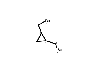 CCC(C)C[C]1CC1CC(C)CC